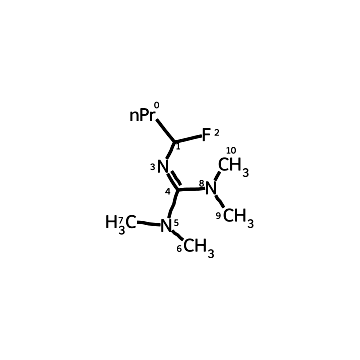 CCCC(F)N=C(N(C)C)N(C)C